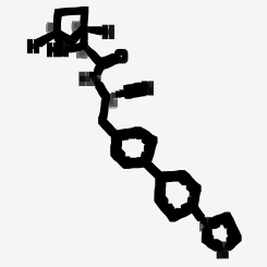 N#C[C@H](Cc1ccc(-c2ccc(-n3ccnc3)cc2)cc1)NC(=O)[C@H]1N[C@@H]2CC[C@H]1C2